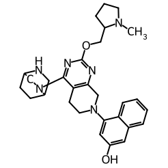 CN1CCCC1COc1nc2c(c(N3CC4CCC3CN4)n1)CCN(c1cc(O)cc3ccccc13)C2